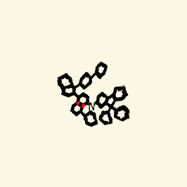 c1ccc(-c2ccc(-c3c(-c4ccc(N(c5ccc6c(c5)C(c5ccccc5)(c5ccccc5)c5ccccc5-6)c5ccccc5-c5ccccc5)cc4)ccc4ccccc34)cc2)cc1